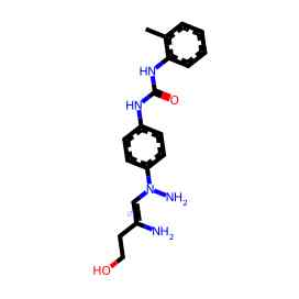 Cc1ccccc1NC(=O)Nc1ccc(N(N)/C=C(\N)CCO)cc1